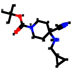 CC(C)(C)OC(=O)N1CCC(C#N)(NCC2CC2)CC1